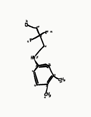 Cc1ccc(NCC(F)(F)CCl)cc1C